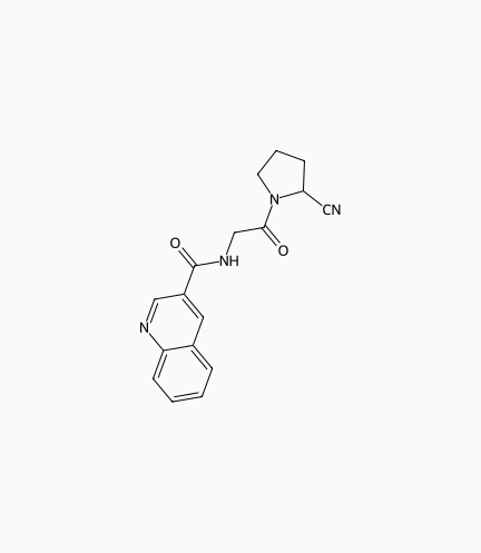 N#CC1CCCN1C(=O)CNC(=O)c1cnc2ccccc2c1